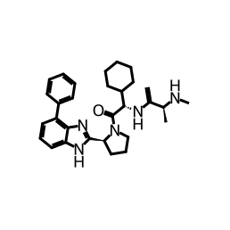 C=C(N[C@H](C(=O)N1CCC[C@H]1c1nc2c(-c3ccccc3)cccc2[nH]1)C1CCCCC1)[C@H](C)NC